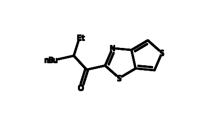 CCCCC(CC)C(=O)c1nc2cscc2s1